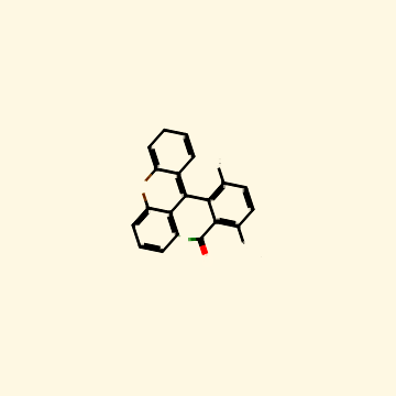 Bc1ccc(B)c(C2=C3C=CCC=C3Sc3ccccc32)c1C(=O)Cl